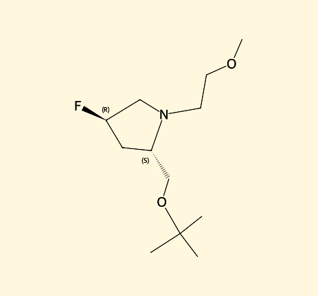 COCCN1C[C@H](F)C[C@H]1COC(C)(C)C